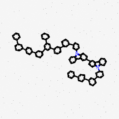 c1ccc(-c2ccc(-c3cccc(-c4cccc(-n5c6ccccc6c6cc(-c7ccc8c(c7)c7ccccc7n8-c7cccc(-c8cccc(-c9cccc(-c%10cc(-c%11ccccc%11)cc(-c%11cccc(-c%12ccc(-c%13cccc(-c%14ccccc%14)c%13)cc%12)c%11)c%10)c9)c8)c7)ccc65)c4)c3)cc2)cc1